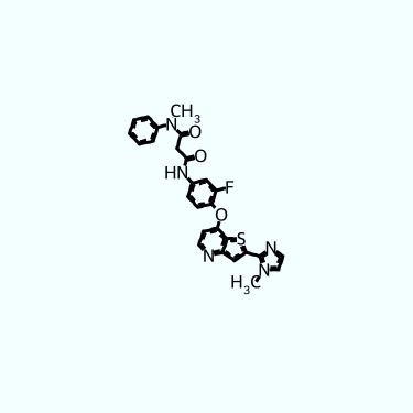 CN(C(=O)CC(=O)Nc1ccc(Oc2ccnc3cc(-c4nccn4C)sc23)c(F)c1)c1ccccc1